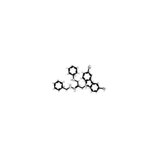 Brc1ccc2c(c1)c1cc(Br)ccc1n2C/C(COc1ccccc1)=N/OCc1ccccc1